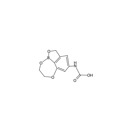 O=C(O)Nc1cc2c3c(c1)OCCOB3OC2